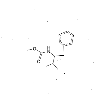 COC(=O)N[C@@H](Cc1ccccc1)C(C)C